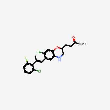 COC(=O)CCC1CNc2cc(/C=C(\C)c3c(F)cccc3Cl)c(Cl)cc2O1